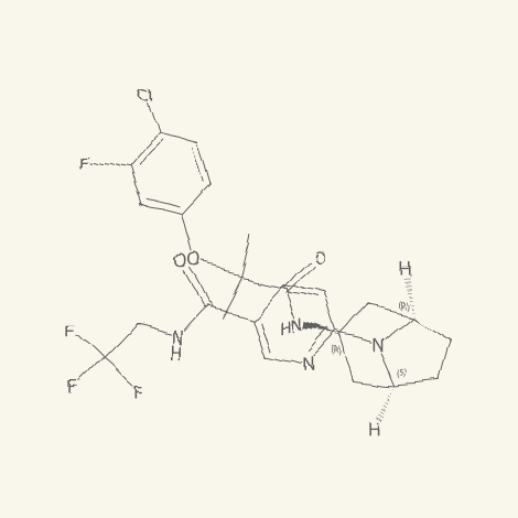 CC(C)(Oc1ccc(Cl)c(F)c1)C(=O)N[C@H]1C[C@H]2CC[C@@H](C1)N2c1ccc(C(=O)NCC(F)(F)F)cn1